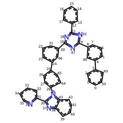 c1ccc(-c2cccc(-c3nc(-c4ccccc4)nc(-c4cccc(-c5ccc(-n6c(-c7ccccn7)nc7ccccc76)cc5)c4)n3)c2)cc1